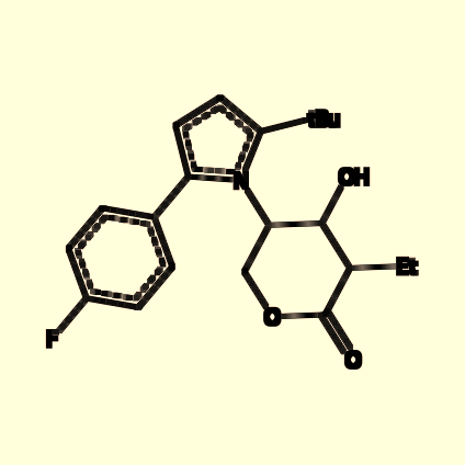 CCC1C(=O)OCC(n2c(-c3ccc(F)cc3)ccc2C(C)(C)C)C1O